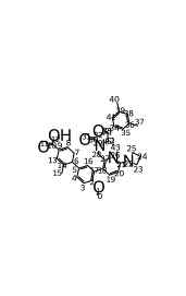 COc1ccc(C2CC=C(C(=O)O)C=C2C)cc1-c1ccc(N2CCC2)nc1CN1C(=O)O[C@H](c2cc(C)cc(C)c2)[C@@H]1C